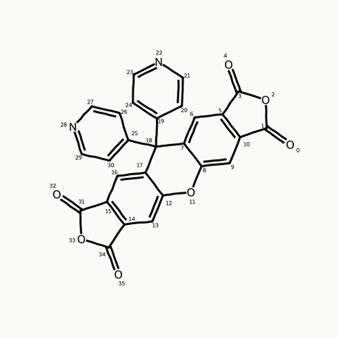 O=C1OC(=O)c2cc3c(cc21)Oc1cc2c(cc1C3(c1ccncc1)c1ccncc1)C(=O)OC2=O